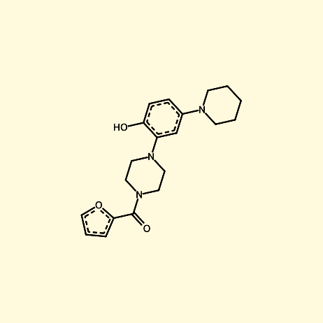 O=C(c1ccco1)N1CCN(c2cc(N3CCCCC3)ccc2O)CC1